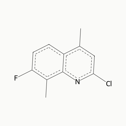 Cc1cc(Cl)nc2c(C)c(F)ccc12